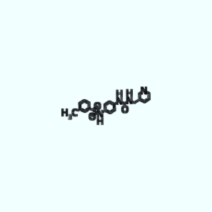 Cc1cccc(S(=O)(=O)Nc2ccc(NC(=O)NCc3cccnc3)cc2)c1